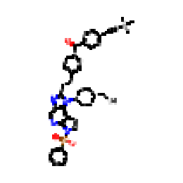 C[Si](C)(C)C#Cc1ccc(C(=O)c2ccc(CCc3nc4cnc5c(ccn5S(=O)(=O)c5ccccc5)c4n3C3CCC(CC#N)CC3)cc2)cc1